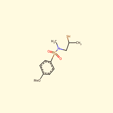 COc1ccc(S(=O)(=O)N(C)CC(C)S)cc1